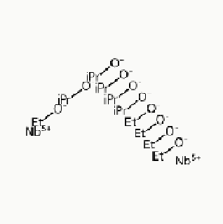 CC(C)[O-].CC(C)[O-].CC(C)[O-].CC(C)[O-].CC(C)[O-].CC[O-].CC[O-].CC[O-].CC[O-].CC[O-].[Nb+5].[Nb+5]